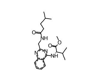 COC(=O)[C@@H](Nc1nc(CNC(=O)CCC(C)C)nc2ccccc12)C(C)C